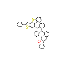 c1ccc(-c2cc3c(cc(-c4c5ccccc5c(-c5cccc6cc7c(cc56)oc5ccccc57)c5ccccc45)c4c5ccccc5sc34)s2)cc1